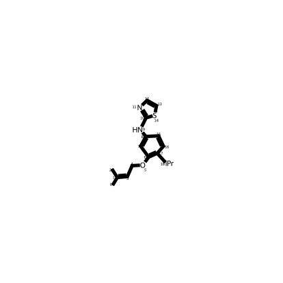 CC(C)=CCOc1cc(Nc2nccs2)ccc1C(C)C